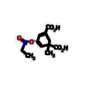 CC1(C(=O)O)C=CC=C(C(=O)O)C1.CC[N+](=O)[O-]